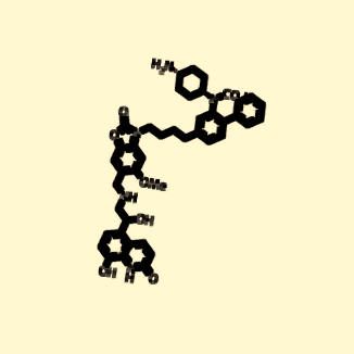 COc1cc2c(cc1CNCC(O)c1ccc(O)c3[nH]c(=O)ccc13)oc(=O)n2CCCCc1ccc(-c2ccccc2)c(N(C(=O)O)[C@H]2CC[C@H](N)CC2)c1